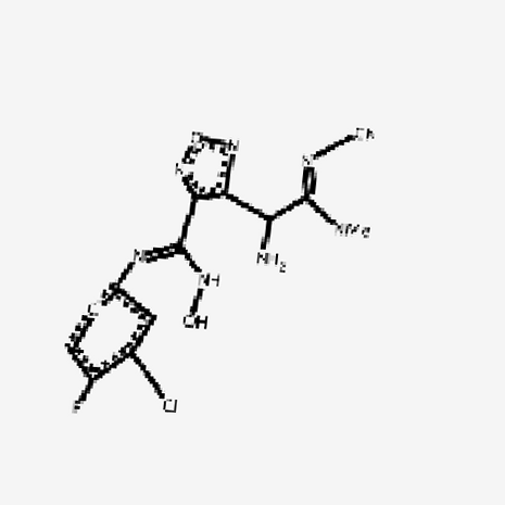 CNC(=NC#N)C(N)c1nonc1C(=Nc1ccc(F)c(Cl)c1)NO